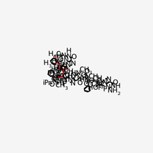 CC(C)OC(=O)[C@H](C)NP(=O)(Oc1ccccc1)OC(C)(C)[C@H]1O[C@@H](n2cnc3c(=O)[nH]c(NC(C)OC(=O)[C@H](C)N[P@@](=O)(Oc4ccccc4)OC(C)(C)[C@H]4O[C@@H](n5cnc6c(=O)[nH]c(NC(C)OC(=O)[C@H](C)N[P@](=O)(Oc7ccccc7)OC(C)(C)[C@H]7O[C@@H](n8cnc9c(=O)[nH]c(N)nc98)[C@@](F)(CF)C7O)nc65)[C@@](F)(CF)C4O)nc32)[C@@](F)(CF)C1O